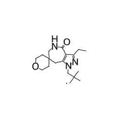 [CH2]C(C)(C)Cn1nc(CC)c2c1CC1(CCOCC1)CNC2=O